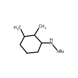 CCCCNC1CCCC(C)C1C